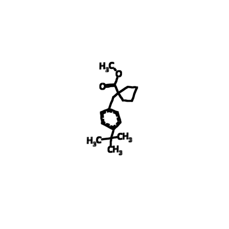 COC(=O)C1(Cc2ccc(C(C)(C)C)cc2)CCCC1